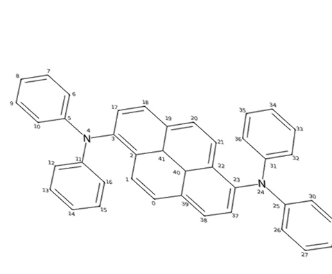 C1=CC2=C(N(c3ccccc3)c3ccccc3)C=CC3=CC=C4C(N(c5ccccc5)c5ccccc5)=CC=C1C4C32